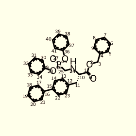 O=C(OCc1ccccc1)[C@H](Cc1ccc(-c2ccccc2)cc1)NCP(=O)(Oc1ccccc1)Oc1ccccc1